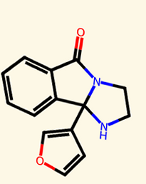 O=C1c2ccccc2C2(c3ccoc3)NCCN12